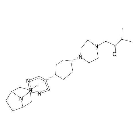 CC(C)C(=O)CN1CCN([C@H]2CC[C@@H](c3cnc(N4C5CCC4CN(C)C5)nc3)CC2)CC1